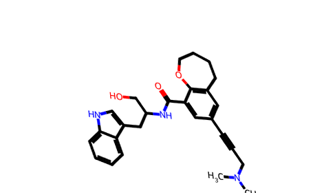 CN(C)CC#Cc1cc2c(c(C(=O)NC(CO)Cc3c[nH]c4ccccc34)c1)OCCCC2